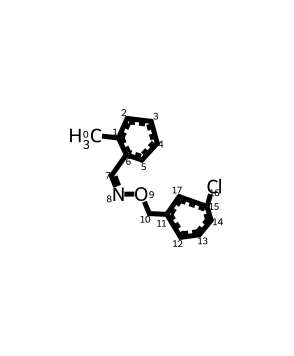 Cc1ccccc1/[C]=N\OCc1cccc(Cl)c1